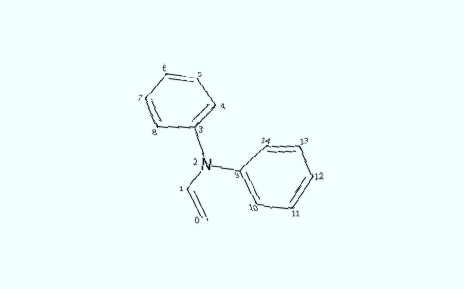 [CH]=CN(c1ccccc1)c1ccccc1